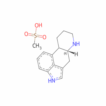 CS(=O)(=O)O.c1cc2c3c(c[nH]c3c1)C[C@H]1NCCCC21